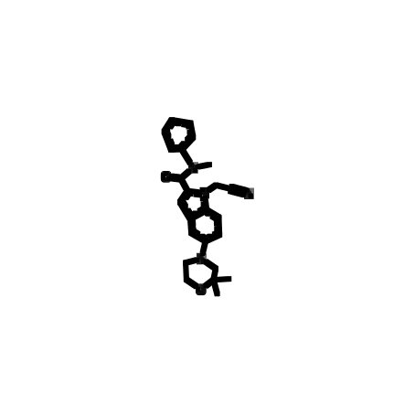 CN(C(=O)c1cc2cc(N3CCOC(C)(C)C3)ccc2n1CC#N)c1ccccc1